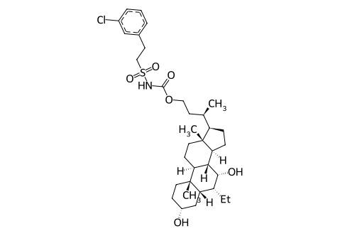 CC[C@H]1[C@@H](O)[C@@H]2[C@H](CC[C@]3(C)[C@@H]([C@H](C)CCOC(=O)NS(=O)(=O)CCc4cccc(Cl)c4)CC[C@@H]23)[C@@]2(C)CC[C@@H](O)C[C@@H]12